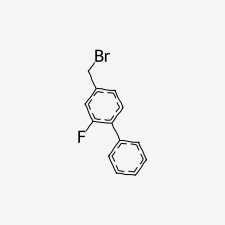 Fc1cc(CBr)ccc1-c1ccccc1